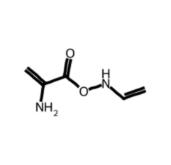 C=CNOC(=O)C(=C)N